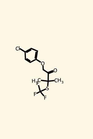 CC(C)(SC(F)(F)F)C(=O)COc1ccc(Cl)cc1